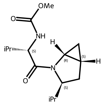 COC(=O)N[C@H](C(=O)N1[C@@H]2C[C@@H]2C[C@H]1C(C)C)C(C)C